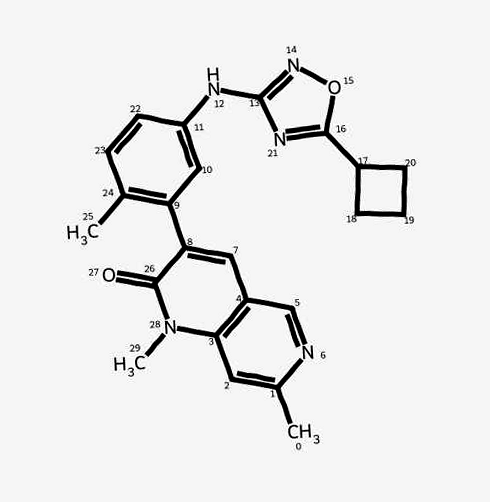 Cc1cc2c(cn1)cc(-c1cc(Nc3noc(C4CCC4)n3)ccc1C)c(=O)n2C